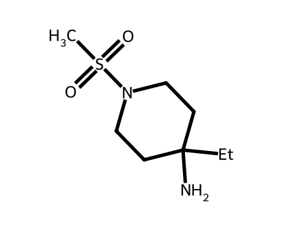 CCC1(N)CCN(S(C)(=O)=O)CC1